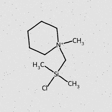 C[N+]1(C[Si](C)(C)Cl)CCCCC1